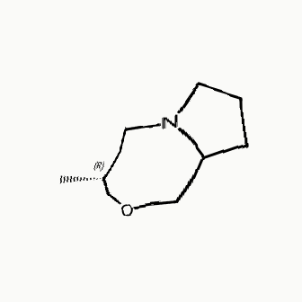 C[C@@H]1CN2CCCC2CO1